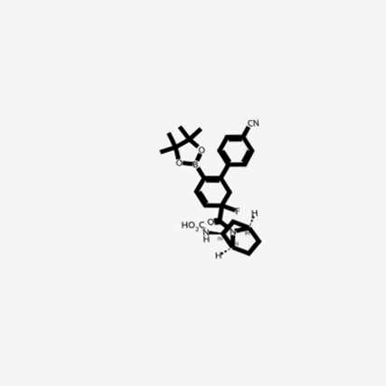 CC1(C)OB(C2=C(c3ccc(C#N)cc3)CC(F)(C(=O)N3[C@@H]4CC[C@H]3[C@@H](NC(=O)O)C4)C=C2)OC1(C)C